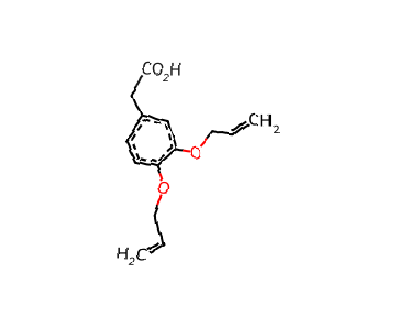 C=CCOc1ccc(CC(=O)O)cc1OCC=C